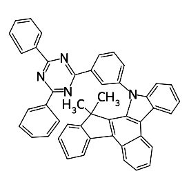 CC1(C)c2ccccc2-c2c1c1c(c3ccccc23)c2ccccc2n1-c1cccc(-c2nc(-c3ccccc3)nc(-c3ccccc3)n2)c1